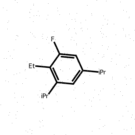 CCc1c(F)cc(C(C)C)cc1C(C)C